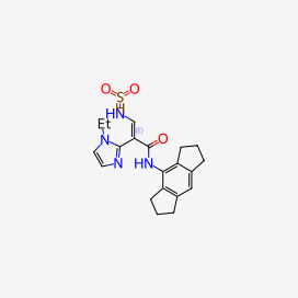 CCn1ccnc1/C(=C\N[SH](=O)=O)C(=O)Nc1c2c(cc3c1CCC3)CCC2